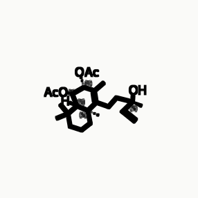 C=C[C@@](C)(O)CCC1=C(C)[C@@H](OC(C)=O)[C@@H](OC(C)=O)[C@H]2C(C)(C)CCC[C@]12C